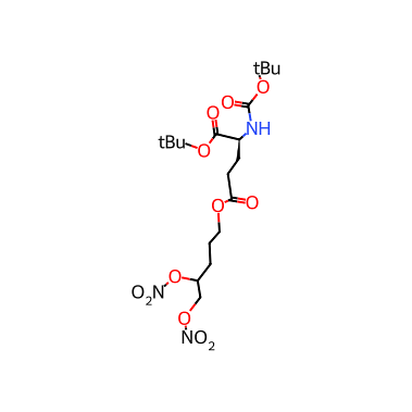 CC(C)(C)OC(=O)N[C@@H](CCC(=O)OCCCC(CO[N+](=O)[O-])O[N+](=O)[O-])C(=O)OC(C)(C)C